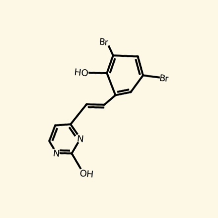 Oc1nccc(C=Cc2cc(Br)cc(Br)c2O)n1